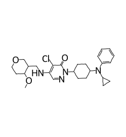 COC1CCOCC1CNc1cnn(C2CCC(N(c3ccccc3)C3CC3)CC2)c(=O)c1Cl